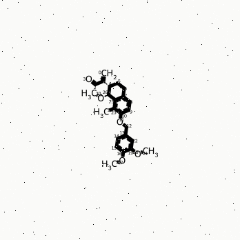 C=C(C=O)[C@@H]1CCc2ccc(OCc3ccc(OC)c(OC)c3)c(C)c2[C@@H]1OC